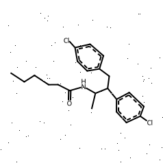 CCCCCC(=O)NC(C)C(Cc1ccc(Cl)cc1)c1ccc(Cl)cc1